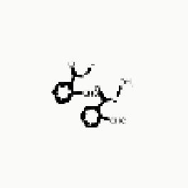 O.O=Cc1ccccc1C(=O)OF.O=Cc1ccccc1C(=O)OF